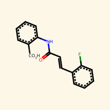 O=C(C=Cc1ccccc1F)Nc1ccccc1C(=O)O